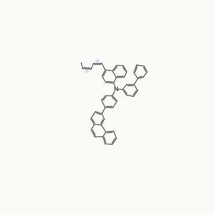 C/C=C\C=C/c1ccc(N(c2ccc(-c3ccc4ccc5ccccc5c4c3)cc2)c2cccc(-c3ccccc3)c2)c2ccccc12